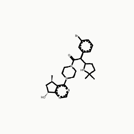 C[C@@H]1C[C@@H](O)c2ncnc(N3CCN(C(=O)C(c4cccc(Br)c4)C4CCC(C)(C)N4)CC3)c21